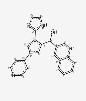 OC(c1cnc2ccccc2c1)c1cc(-c2ccncc2)sc1-c1nnc[nH]1